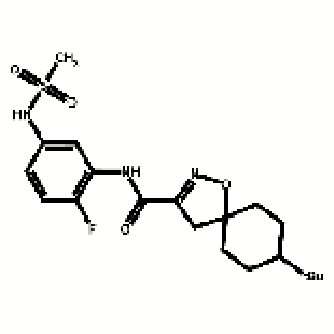 CC(C)(C)C1CCC2(CC1)CC(C(=O)Nc1cc(NS(C)(=O)=O)ccc1F)=NO2